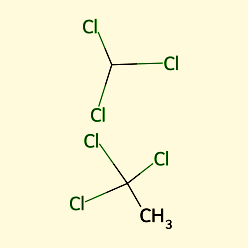 CC(Cl)(Cl)Cl.ClC(Cl)Cl